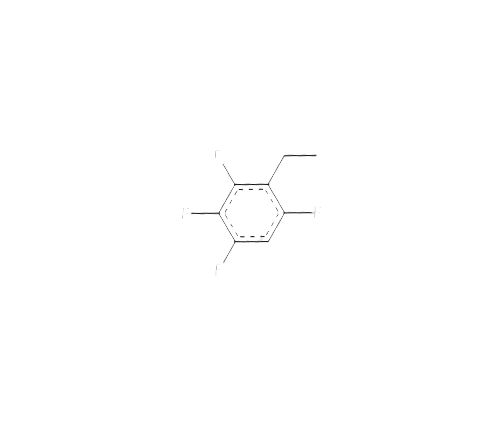 CCc1c(F)[c]c(F)c(F)c1F